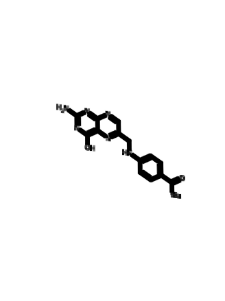 CC(C)(C)C(=O)c1ccc(NCc2cnc3nc(N)nc(O)c3n2)cc1